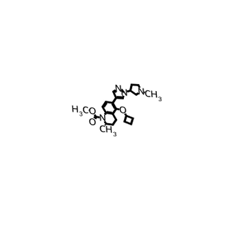 COC(=O)N1c2ccc(-c3cnn(C4CCN(C)C4)c3)c(OC3CCC3)c2CC[C@@H]1C